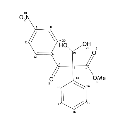 COC(=O)C(C(=O)c1ccc([N+](=O)[O-])cc1)(c1ccccc1)C(O)O